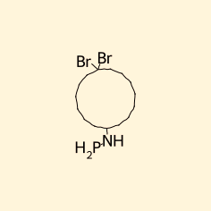 PNC1CCCCCCCC(Br)(Br)CCCCCC1